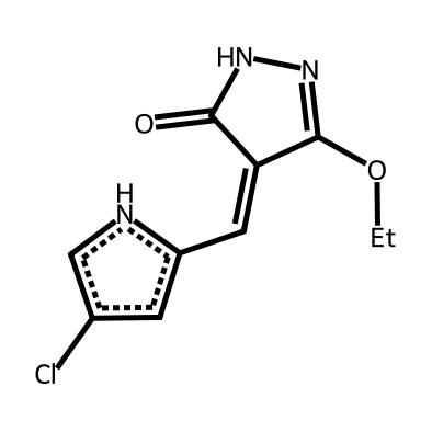 CCOC1=NNC(=O)C1=Cc1cc(Cl)c[nH]1